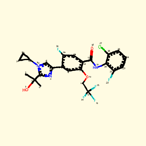 CC(C)(O)c1nc(-c2cc(OCC(F)(F)F)c(C(=O)Nc3c(F)cccc3Cl)cc2F)cn1C1CC1